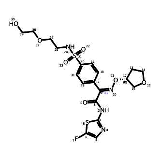 O=C(Nc1ncc(F)s1)/C(=N/O[C@@H]1CCOC1)c1ccc(S(=O)(=O)NCCOCCO)cc1